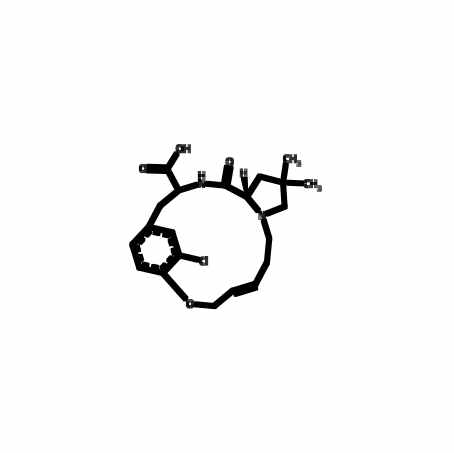 CC1(C)C[C@H]2C(=O)NC(C(=O)O)Cc3ccc(c(Cl)c3)OC/C=C/CCN2C1